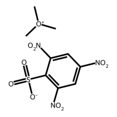 C[O+](C)C.O=[N+]([O-])c1cc([N+](=O)[O-])c(S(=O)(=O)[O-])c([N+](=O)[O-])c1